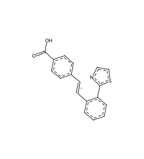 O=C(O)c1ccc(/C=C/c2ccccc2-c2nccs2)cc1